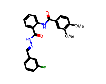 COc1ccc(C(=O)Nc2ccccc2C(=O)NN=Cc2cccc(F)c2)cc1OC